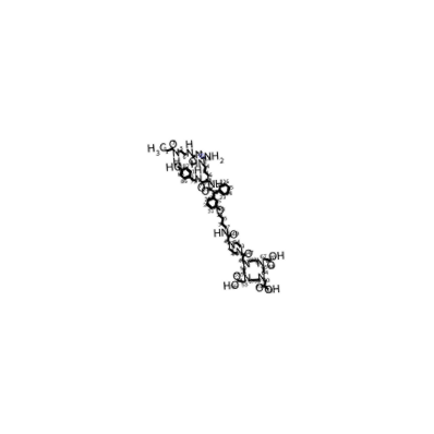 CCC(=O)NCCNC(=O)/N=C(/N)NCCC[C@@H](NC(=O)[C@@H](c1ccccc1)c1cccc(OCCCCNC(=O)CN2CCN(C(=O)CN3CCN(CC(=O)O)CCN(CC(=O)O)CCN(CC(=O)O)CC3)CC2)c1)C(=O)NCc1ccc(O)cc1